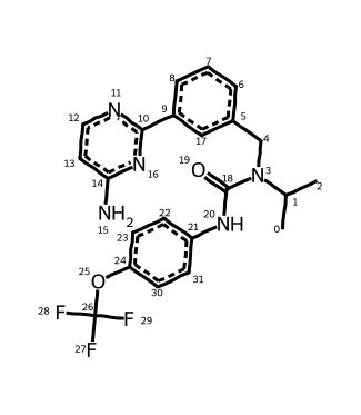 CC(C)N(Cc1cccc(-c2nccc(N)n2)c1)C(=O)Nc1ccc(OC(F)(F)F)cc1